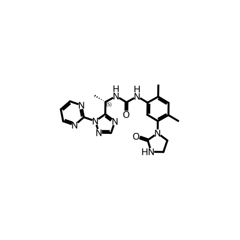 Cc1cc(C)c(N2CCNC2=O)cc1NC(=O)N[C@@H](C)c1ncnn1-c1ncccn1